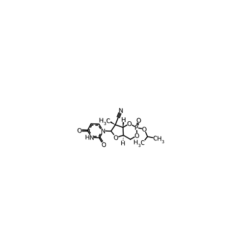 CC(C)OP1(=O)OC[C@H]2OC(n3ccc(=O)[nH]c3=O)[C@](C)(C#N)[C@@H]2O1